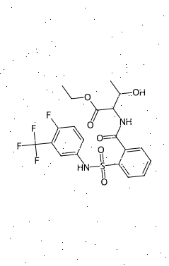 CCOC(=O)C(NC(=O)c1ccccc1S(=O)(=O)Nc1ccc(F)c(C(F)(F)F)c1)C(C)O